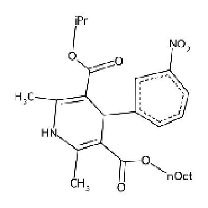 CCCCCCCCOC(=O)C1=C(C)NC(C)=C(C(=O)OC(C)C)C1c1cccc([N+](=O)[O-])c1